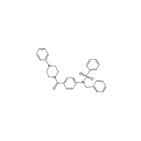 O=C(c1ccc(N(Cc2ccccc2)S(=O)(=O)c2ccccc2)cc1)N1CCN(c2ccccc2)CC1